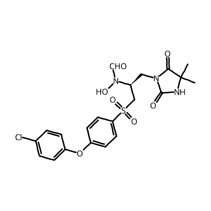 CC1(C)NC(=O)N(C[C@@H](CS(=O)(=O)c2ccc(Oc3ccc(Cl)cc3)cc2)N(O)C=O)C1=O